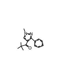 Cn1cc(C(=O)C(C)(C)C)c(-c2ccccc2)n1